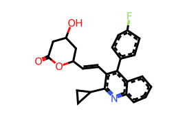 O=C1CC(O)CC(C=Cc2c(C3CC3)nc3ccccc3c2-c2ccc(F)cc2)O1